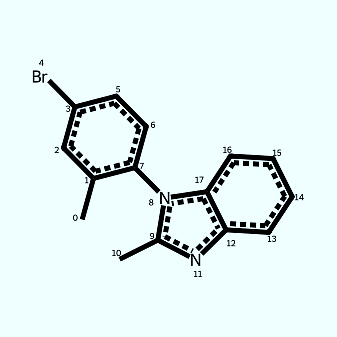 Cc1cc(Br)ccc1-n1c(C)nc2ccccc21